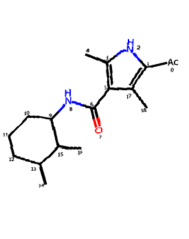 CC(=O)c1[nH]c(C)c(C(=O)NC2CCCC(C)C2C)c1C